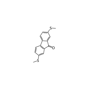 CSc1ccc2c(c1)C(=O)c1cc(SC)ccc1-2